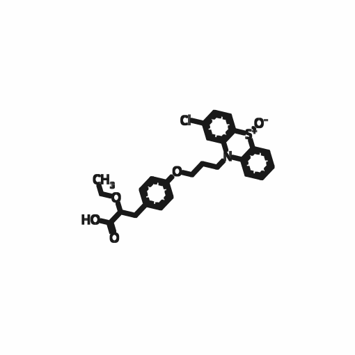 CCOC(Cc1ccc(OCCCN2c3ccccc3[S+]([O-])c3ccc(Cl)cc32)cc1)C(=O)O